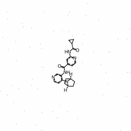 O=C(Nc1cnccc1N1[C@H]2CC[C@@H]1CC2)c1ccnc(NC(=O)C2CC2)c1